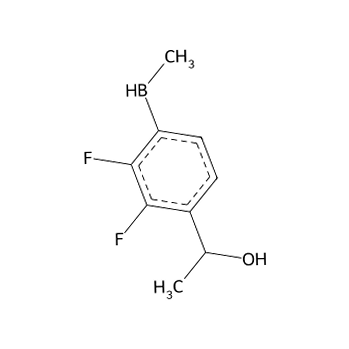 CBc1ccc(C(C)O)c(F)c1F